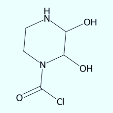 O=C(Cl)N1CCNC(O)C1O